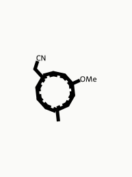 COc1ccc(C)cccc(CC#N)cc1